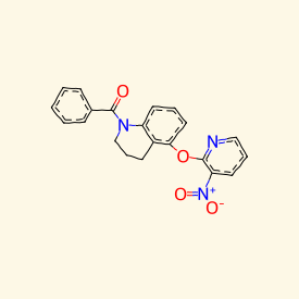 O=C(c1ccccc1)N1CCCc2c(Oc3ncccc3[N+](=O)[O-])cccc21